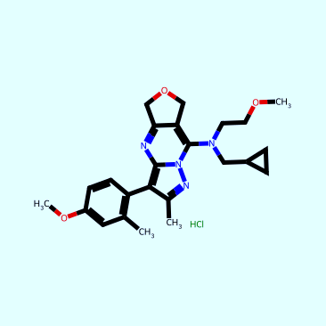 COCCN(CC1CC1)c1c2c(nc3c(-c4ccc(OC)cc4C)c(C)nn13)COC2.Cl